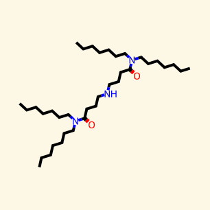 CCCCCCCN(CCCCCCC)C(=O)CCCNCCCC(=O)N(CCCCCCC)CCCCCCC